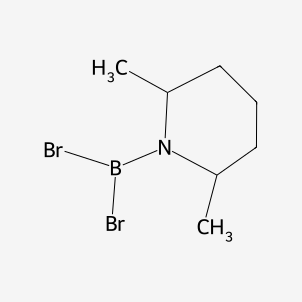 CC1CCCC(C)N1B(Br)Br